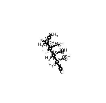 COc1ccc2c(c1)nc1c(C#N)c(C)c(N=Nc3cc(C)c(N=Nc4cc(C)c(N=Nc5cc(C)c(N=Nc6ccc(Cl)cc6)cc5SCCCS(=O)(=O)O)cc4SCCCS(=O)(=O)O)cc3OCCCS(=O)(=O)O)c(O)n12